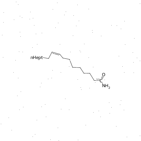 CCCCCCCC/C=C\CCCCCCC[13C](N)=O